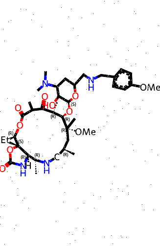 CC[C@H]1OC(=O)C(C)C(=O)[C@H](C)[C@@H](O[C@@H]2OC(CNCc3ccc(OC)cc3)CC(N(C)C)C2O)[C@](C)(OC)C[C@@H](C)CN[C@H](C)[C@H]2NC(=O)O[C@@]21C